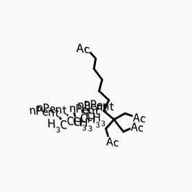 CC(=O)CCCCCCC(CC(C)=O)(CC(C)=O)CC(C)=O.CCCCCC.CCCCCC.CCCCCC.CCCCCC.CCCCCC